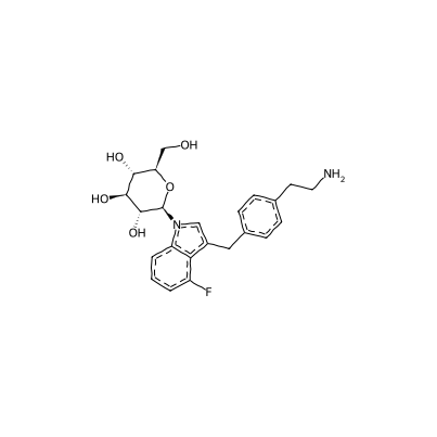 NCCc1ccc(Cc2cn([C@@H]3O[C@H](CO)[C@@H](O)[C@H](O)[C@H]3O)c3cccc(F)c23)cc1